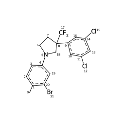 Cc1ccc(N2CCC(c3cc(Cl)cc(Cl)c3)(C(F)(F)F)C2)cc1Br